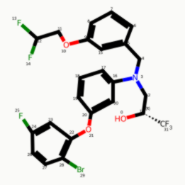 O[C@H](CN(Cc1cccc(OCC(F)F)c1)c1cccc(Oc2cc(F)ccc2Br)c1)C(F)(F)F